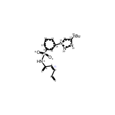 C=C/C=C\C(=C)NS(=O)(=O)c1cccc(-n2cc(CCCC)nn2)c1